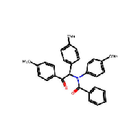 COc1ccc(C(=O)C(c2ccc(OC)cc2)N(C(=O)c2ccccc2)c2ccc(OC)cc2)cc1